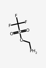 O=S(=O)(OCP)C(F)(F)F